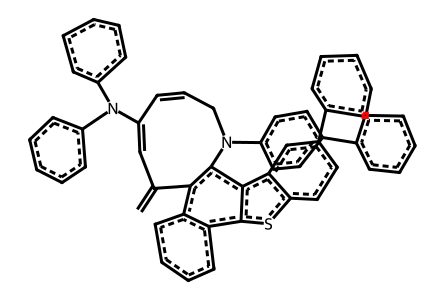 C=C1/C=C(N(c2ccccc2)c2ccccc2)\C=C/CN(c2ccc(-c3ccccc3)cc2)c2c1c1ccccc1c1sc3ccc(-c4ccccc4)cc3c21